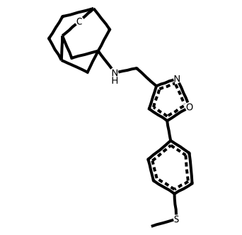 CSc1ccc(-c2cc(CNC34CC5CCC(C3)C(C5)C4)no2)cc1